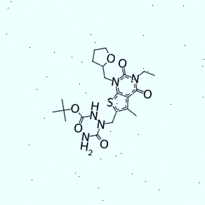 CCn1c(=O)c2c(C)c(CN(NC(=O)OC(C)(C)C)C(N)=O)sc2n(CC2CCCO2)c1=O